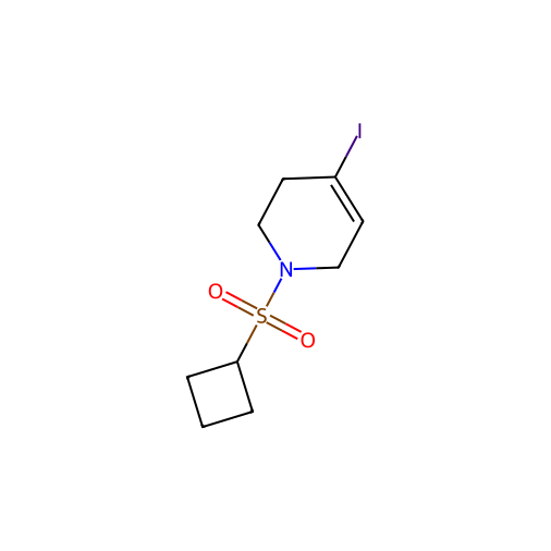 O=S(=O)(C1CCC1)N1CC=C(I)CC1